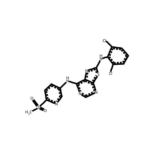 CS(=O)(=O)c1ccc(Nc2ncnc3sc(Nc4c(Cl)cccc4Cl)nc23)cn1